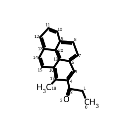 CCC(=O)c1cc2ccc3cccc4ccc(c1C)c2c34